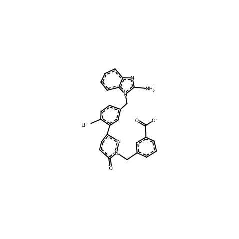 Cc1ccc(Cn2c(N)nc3ccccc32)cc1-c1ccc(=O)n(Cc2cccc(C(=O)[O-])c2)n1.[Li+]